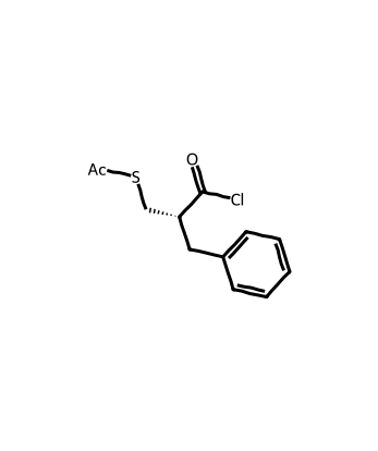 CC(=O)SC[C@@H](Cc1ccccc1)C(=O)Cl